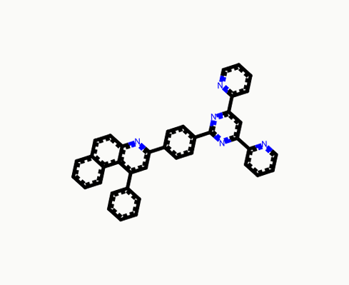 c1ccc(-c2cc(-c3ccc(-c4nc(-c5ccccn5)cc(-c5ccccn5)n4)cc3)nc3ccc4ccccc4c23)cc1